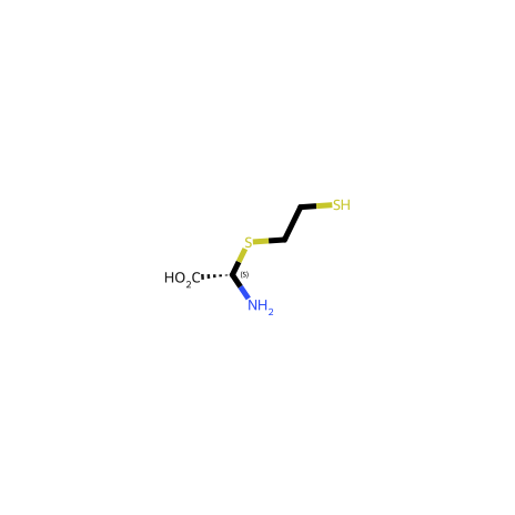 N[C@@H](SCCS)C(=O)O